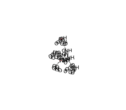 CC(=O)NC1C(OCCCCC(=O)NCCN(CCNC(=O)CCCCOC2OC(COC(C)=O)C(OC(C)=O)C(OC(C)=O)C2NC(C)=O)C(=O)CC[C@H](NC(=O)CCCCOC2OC(COC(C)=O)C(OC(C)=O)C(OC(C)=O)C2NC(C)=O)C(=O)NCCCCCC(=O)ON2C(=O)CCC2=O)OC(COC(C)=O)C(OC(C)=O)C1OC(C)=O